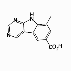 Cc1cc(C(=O)O)cc2c1[nH]c1ncncc12